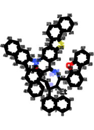 CCC1/C(c2cccc3ccccc23)=C/CC(C)/C(c2cc3sc4c5ccccc5ccc4c3cc2-n2c3cc4ccccc4cc3c3cc4ccccc4cc32)=N\C1c1cccc2c1oc1ccccc12